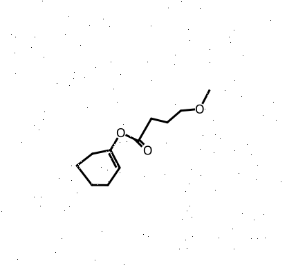 COCCCC(=O)OC1=CCCCC1